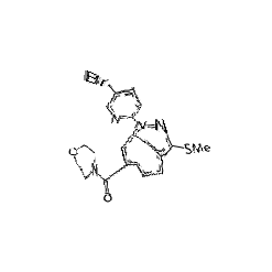 CSc1nn(-c2ccc(Br)cn2)c2cc(C(=O)N3CCOCC3)ccc12